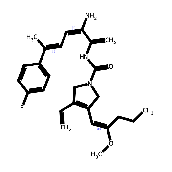 C=CC1=C(/C=C(\CCC)OC)CN(C(=O)NC(=C)/C(N)=C\C=C(/C)c2ccc(F)cc2)C1